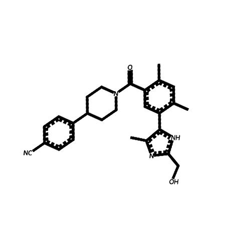 Cc1cc(C)c(-c2[nH]c(CO)nc2C)cc1C(=O)N1CCC(c2ccc(C#N)cc2)CC1